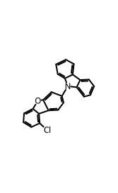 Clc1cccc2oc3cc(-n4c5ccccc5c5ccccc54)ccc3c12